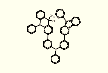 CC1(C)c2ccccc2N(c2ccccc2)c2cc(-c3cccc(N(c4ccccc4)c4cccc(-c5ccc6c(c5)c5ccccc5n6-c5ccccc5)c4)c3)ccc21